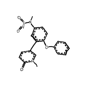 CN(c1ccc(Oc2ccccc2)c(-c2ccc(=O)n(C)c2)c1)[SH](=O)=O